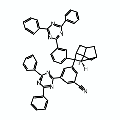 N#Cc1cc(-c2nc(-c3ccccc3)nc(-c3ccccc3)n2)cc(C2(c3cccc(-c4nc(-c5ccccc5)nc(-c5ccccc5)n4)c3)C3CC4CC5CC43[C@H]52)c1